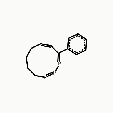 C1=CC(c2ccccc2)=PP=PCCCC1